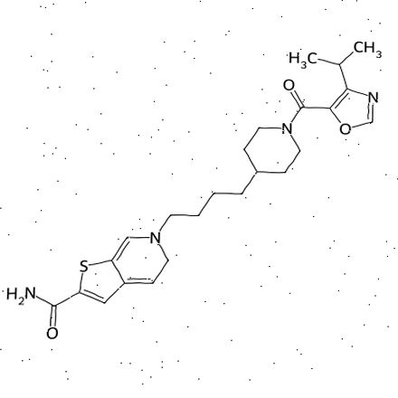 CC(C)c1ncoc1C(=O)N1CCC(CCCCN2C=c3sc(C(N)=O)cc3=CC2)CC1